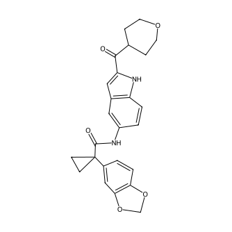 O=C(c1cc2cc(NC(=O)C3(c4ccc5c(c4)OCO5)CC3)ccc2[nH]1)C1CCOCC1